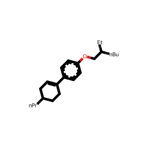 CCCCC(CC)COc1ccc(C2=CCC(CCC)CC2)cc1